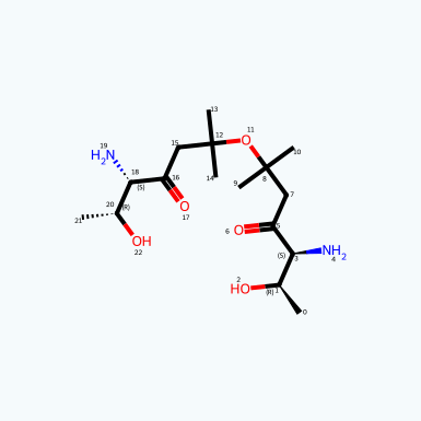 C[C@@H](O)[C@H](N)C(=O)CC(C)(C)OC(C)(C)CC(=O)[C@@H](N)[C@@H](C)O